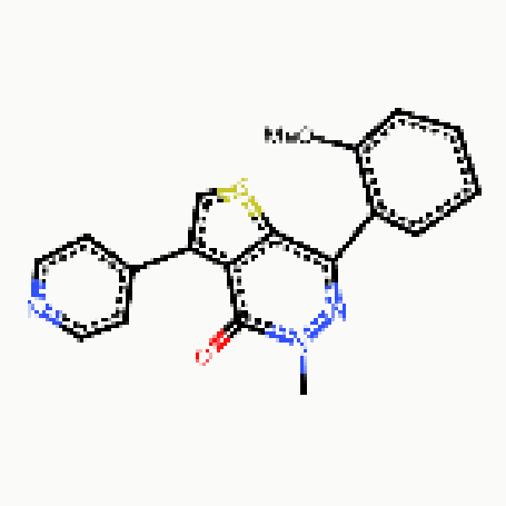 COc1ccccc1-c1nn(C)c(=O)c2c(-c3ccncc3)csc12